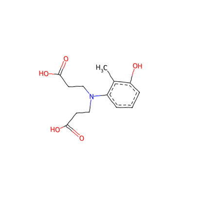 Cc1c(O)cccc1N(CCC(=O)O)CCC(=O)O